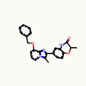 Cc1c(-c2ccc3c(c2)NC(=O)C(C)O3)nc2c(OCc3ccccc3)cccn12